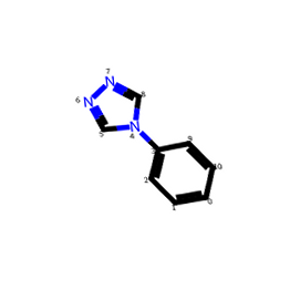 c1ccc(-n2cnnc2)cc1